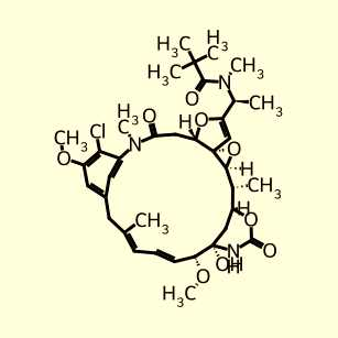 COc1cc2cc(c1Cl)N(C)C(=O)C[C@@H]1OC([C@H](C)N(C)C(=O)C(C)(C)C)=C[C@]13O[C@H]3[C@H](C)[C@@H]1C[C@@](O)(NC(=O)O1)[C@H](OC)/C=C/C=C(\C)C2